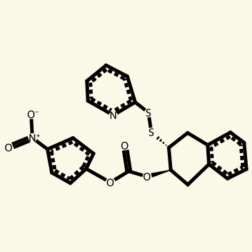 O=C(Oc1ccc([N+](=O)[O-])cc1)O[C@@H]1Cc2ccccc2C[C@H]1SSc1ccccn1